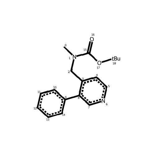 CN(Cc1ccn[c]c1-c1ccccc1)C(=O)OC(C)(C)C